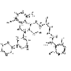 Cc1cccc(C)c1C(=O)NCCC(C)N1CCC(N(Cc2cc(Cl)ccc2F)C2=COC=C(C3=CC=CCC3)O2)CC1